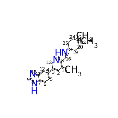 Cc1cc(-c2ccc3[nH]cnc3c2)cnc1CNC1CCC(C)(C)CC1